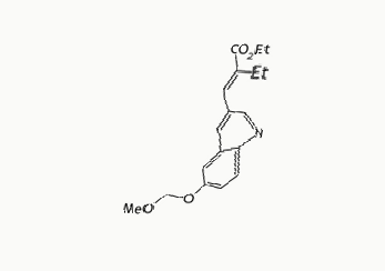 CCOC(=O)C(=Cc1cnc2ccc(OCOC)cc2c1)CC